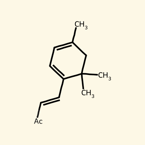 CC(=O)/C=C/C1=CC=C(C)CC1(C)C